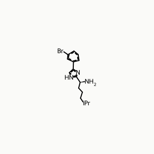 CC(C)CCC[C@H](N)c1nc(-c2cccc(Br)c2)c[nH]1